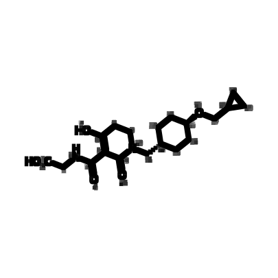 O=C(O)CNC(=O)C1=C(O)CCN(C[C@H]2CC[C@H](OCC3CC3)CC2)C1=O